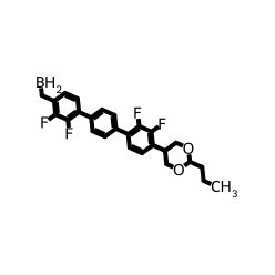 BCc1ccc(-c2ccc(-c3ccc(C4COC(CCC)OC4)c(F)c3F)cc2)c(F)c1F